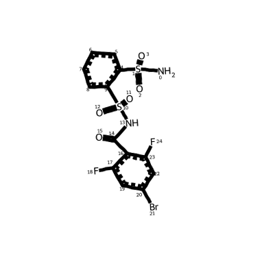 NS(=O)(=O)c1ccccc1S(=O)(=O)NC(=O)c1c(F)cc(Br)cc1F